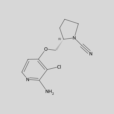 N#CN1CCC[C@H]1COc1ccnc(N)c1Cl